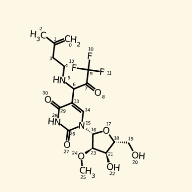 C=C(C)CCNC(C(=O)C(F)(F)F)c1cn([C@@H]2O[C@H](CO)[C@@H](O)[C@H]2OC)c(=O)[nH]c1=O